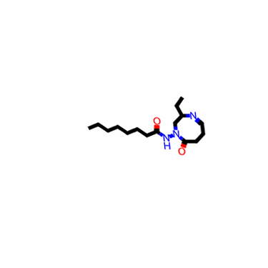 CCCCCCCC(=O)NN1CC(CC)N=CCCC1=O